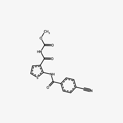 COC(=O)NC(=O)c1ccsc1NC(=O)c1ccc(C#N)cc1